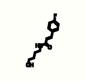 O=C(C=Cc1ccc(F)cc1)NCCCCO